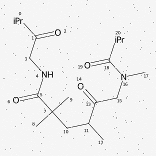 CC(C)C(=O)CNC(=O)C(C)(C)CC(C)C(=O)CN(C)C(=O)C(C)C